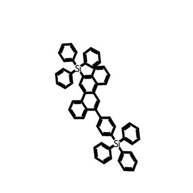 c1ccc([Si](c2ccccc2)(c2ccccc2)c2ccc(-c3cc4c5ccccc5c([Si](c5ccccc5)(c5ccccc5)c5ccccc5)cc4c4ccccc34)cc2)cc1